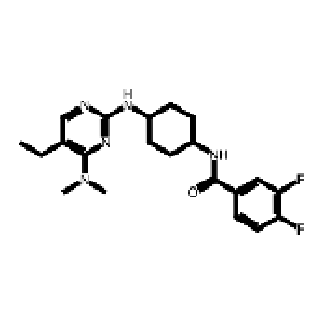 CCc1cnc(NC2CCC(NC(=O)c3ccc(F)c(F)c3)CC2)nc1N(C)C